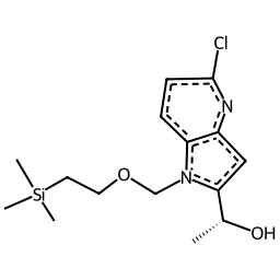 C[C@@H](O)c1cc2nc(Cl)ccc2n1COCC[Si](C)(C)C